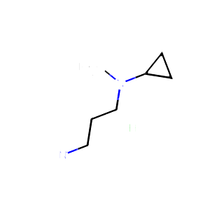 Cl.NCCCN(C(=O)O)C1CC1